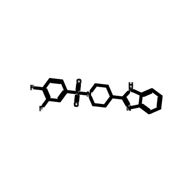 O=S(=O)(c1ccc(F)c(F)c1)N1CCC(c2nc3ccccc3[nH]2)CC1